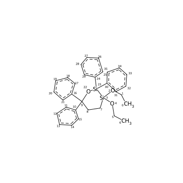 CCO[Si]1(OCC)CCC(c2ccccc2)(c2ccccc2)O[Si]1(c1ccccc1)c1ccccc1